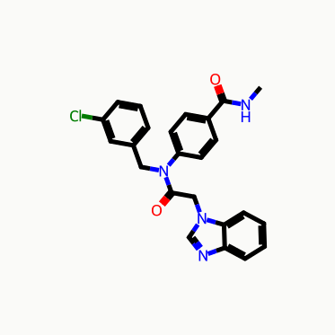 CNC(=O)c1ccc(N(Cc2cccc(Cl)c2)C(=O)Cn2cnc3ccccc32)cc1